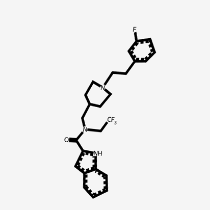 O=C(c1cc2ccccc2[nH]1)N(CC1CCN(CCc2cccc(F)c2)CC1)CC(F)(F)F